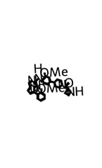 COc1cc(C2CCN(C(=O)C3CCN3)CC2)ccc1Nc1ncc2ccc(-c3ccccc3OC)n2n1